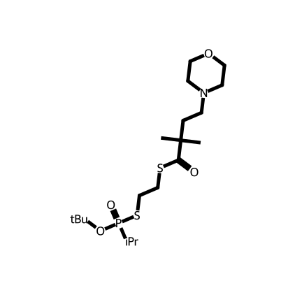 CC(C)P(=O)(OC(C)(C)C)SCCSC(=O)C(C)(C)CCN1CCOCC1